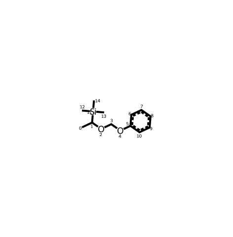 CC(OCOc1ccccc1)[Si](C)(C)C